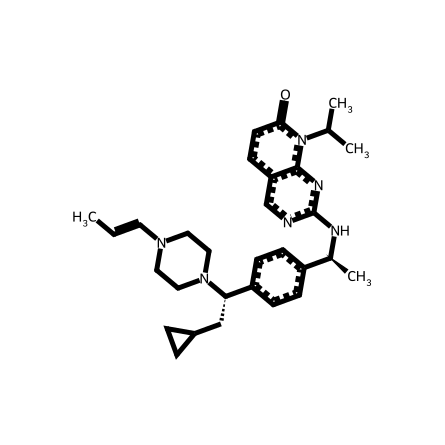 CC=CN1CCN([C@@H](CC2CC2)c2ccc([C@H](C)Nc3ncc4ccc(=O)n(C(C)C)c4n3)cc2)CC1